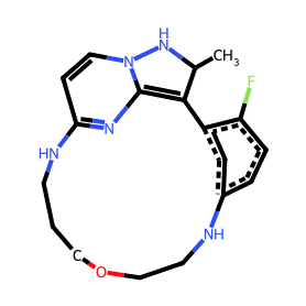 CC1NN2C=CC3=NC2=C1c1cc(ccc1F)NCCOCCCN3